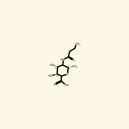 CCCC(=O)NC1[C@H](C)OC(C(=O)O)[C@@H](O)[C@@H]1O